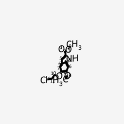 COC(=O)c1cc2cc(OCCCl)c(OC)cc2[nH]1